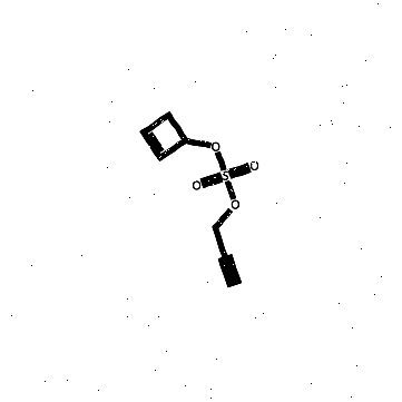 C#CCOS(=O)(=O)OC1C=CC1